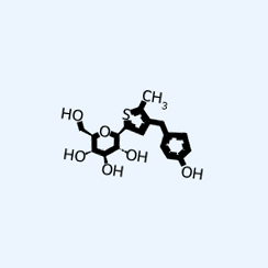 Cc1sc([C@@H]2O[C@H](CO)[C@@H](O)[C@H](O)[C@H]2O)cc1Cc1ccc(O)cc1